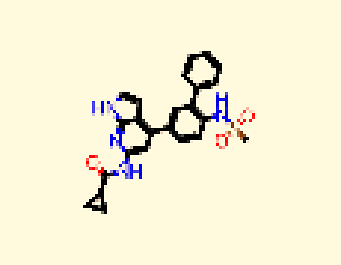 CS(=O)(=O)Nc1ccc(-c2cc(NC(=O)C3CC3)nc3[nH]ccc23)cc1-c1ccccc1